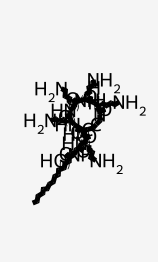 CCCCCCCCCCCC[C@@H](O)CC(=O)NCC(=O)N[C@@H](CCCCN)C(=O)N[C@@H]1CCCCNC(=O)[C@H](CCCCN)NC(=O)[C@@H](CCCCN)NC(=O)[C@@H](CCCCN)NC(=O)[C@H](CCCCN)NC1=O